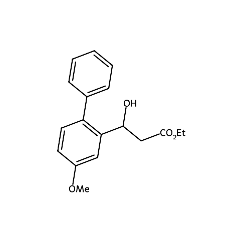 CCOC(=O)CC(O)c1cc(OC)ccc1-c1ccccc1